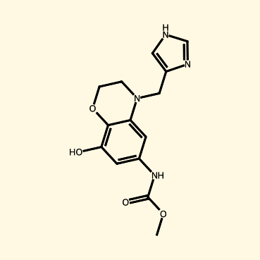 COC(=O)Nc1cc(O)c2c(c1)N(Cc1c[nH]cn1)CCO2